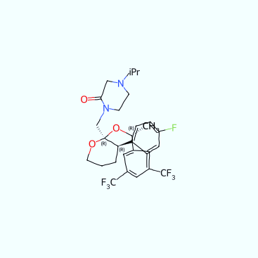 CC(C)N1CCN(C[C@@]2(O[C@H](C)c3cc(C(F)(F)F)cc(C(F)(F)F)c3)OCCC[C@@H]2c2ccc(F)cc2)C(=O)C1